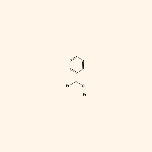 CC(C)OC(c1ccccc1)C(C)C